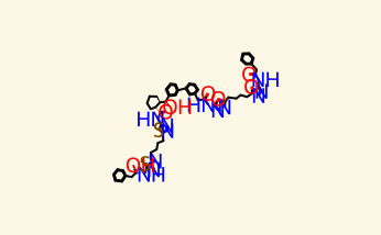 O=C(Cc1ccccc1)Nc1nnc(CCCCc2nnc(NC(=O)Cc3cccc(-c4cccc([C@@H](O)[C@@H]5CCCC[C@H]5C(=O)Nc5nnc(CCCCc6nnc(NC(O)Cc7ccccc7)s6)s5)c4)c3)o2)o1